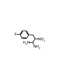 NC(N)C(Cc1ccc(F)cc1)[N+](=O)[O-]